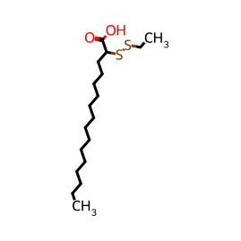 CCCCCCCCCCCCCCC(SSCC)C(=O)O